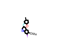 COc1cc2c(Oc3ccc(C)cc3F)ccnc2cc1I